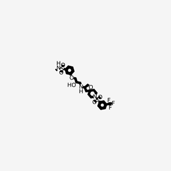 CNS(=O)(=O)c1cccc(OC[C@@H](O)CNC2COC3(CCN(S(=O)(=O)c4cccc(C(F)(F)F)c4)CC3)C2)c1